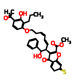 CCCc1c(OCC/C=C\C=C\[C@@H](c2c(C(=O)OC)oc3c(c2=O)=CCC(=S)C=3)[C@@H](O)c2ccccc2)ccc(C(C)=O)c1O